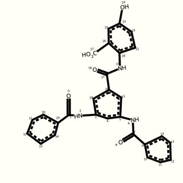 O=C(Nc1cc(NC(=O)c2ccccc2)cc(C(=O)Nc2ccc(O)cc2C(=O)O)c1)c1ccccc1